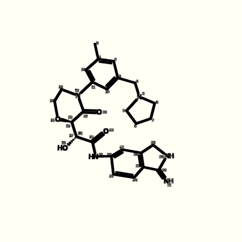 Cc1cc(CN2CCCC2)cc(N2CCO[C@H]([C@@H](O)C(=O)Nc3ccc4c(c3)CNC4=N)C2=O)c1